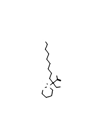 CCCCCCCCCC(CC)(C(=O)O)[Si]1(C)CCCCO1